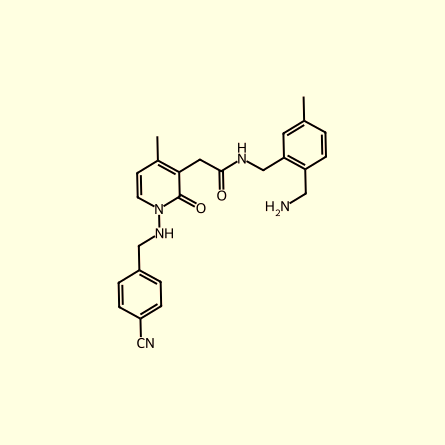 Cc1ccc(CN)c(CNC(=O)Cc2c(C)ccn(NCc3ccc(C#N)cc3)c2=O)c1